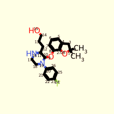 CC1(C)Cc2cccc(OC3C(CCCO)NCCN3c3ccc(F)cc3)c2O1